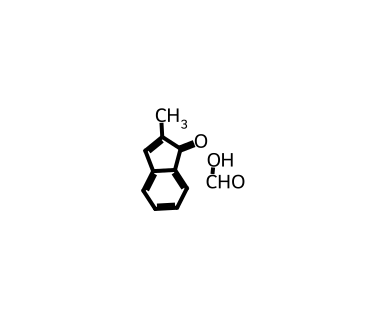 CC1=Cc2ccccc2C1=O.O=CO